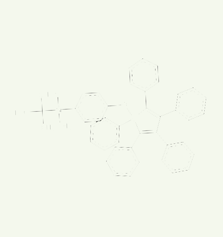 CC(C)(C)[Si](C)(C)c1ccc(O[Si]2(c3ccccc3)C(c3ccccc3)=C(c3ccccc3)C(c3ccccc3)=C2c2ccccc2)cc1